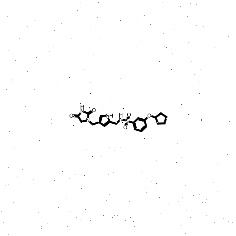 O=C1CN(Cc2c[nH]c(CNS(=O)(=O)c3cccc(OC4CCCC4)c3)c2)C(=O)N1